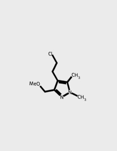 COCc1nn(C)c(C)c1CCCl